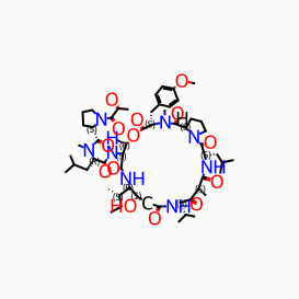 CC[C@H](C)[C@H]1NC(=O)[C@@H](NC(=O)[C@@H](CC(C)C)N(C)C(=O)[C@@H]2CCCN2C(=O)C(C)=O)[C@@H](C)OC(=O)[C@H](Cc2ccc(OC)cc2)N(C)C(=O)[C@@H]2CCCN2C(=O)[C@H](CC(C)C)NC(=O)[C@@H](C)C(=O)[C@H](C(C)C)NC(=O)C[C@@H]1O